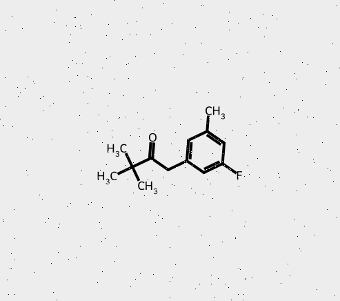 Cc1cc(F)cc(CC(=O)C(C)(C)C)c1